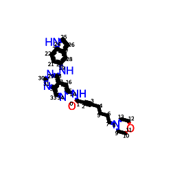 O=C(C#CCCCCN1CCOCC1)Nc1cc2c(Nc3ccc4[nH]ccc4c3)ncnc2cn1